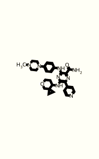 CN1CCN(c2ccc(Nc3nc(NC4CCOCC45CC5)c(-c4ccncc4)nc3C(N)=O)cc2)CC1